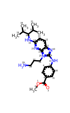 COC(=O)c1ccc(Nc2nc3ccc(NC(C(C)C)C(C)C)nc3n2CCCN)cc1